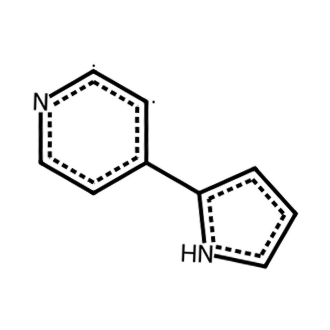 [c]1[c]c(-c2ccc[nH]2)ccn1